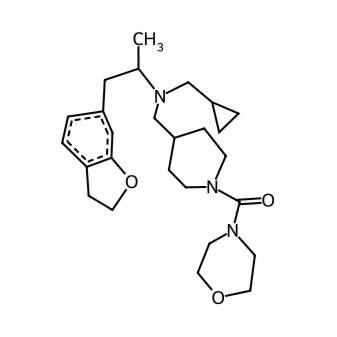 CC(Cc1ccc2c(c1)OCC2)N(CC1CC1)CC1CCN(C(=O)N2CCOCC2)CC1